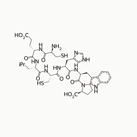 CC(C)C[C@H](NC(=O)[C@H](CCC(=O)O)NC(=O)[C@@H](N)CS)C(=O)N[C@@H](CS)C(=O)N[C@@H](Cc1c[nH]cn1)C(=O)N[C@@H](Cc1c[nH]c2ccccc12)C(=O)N1CCC[C@H]1C(=O)O